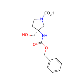 O=C(N[C@@]1(CO)CCN(C(=O)O)C1)OCc1ccccc1